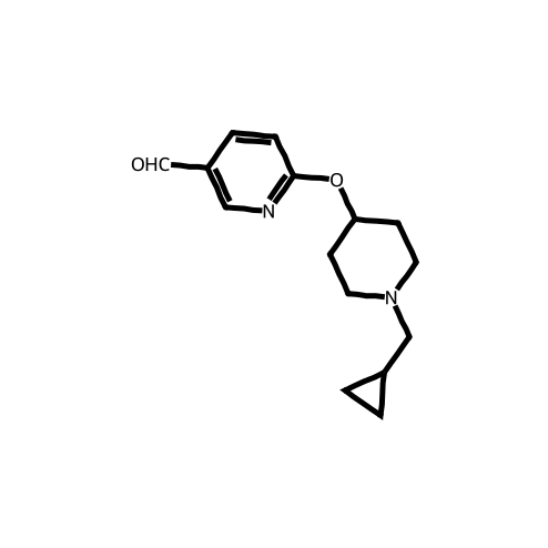 O=Cc1ccc(OC2CCN(CC3CC3)CC2)nc1